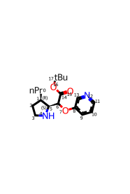 CCC[C@@H]1CCN[C@@H]1C(Oc1cccnc1)C(=O)OC(C)(C)C